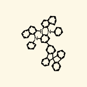 c1ccc(N2c3cc(-c4ccc5c(c4)-c4ccccc4C54c5ccccc5-c5ccccc54)cc4c3B(c3ccc5ccccc5c32)c2ccc3ccccc3c2N4c2ccccc2)cc1